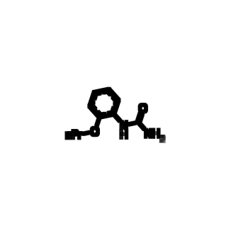 CCCOc1ccccc1NC(N)=O